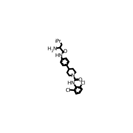 CC(C)CC(N)C(=O)Nc1ccc(C2CCN(C(=O)Nc3c(Cl)cccc3Cl)CC2)cc1